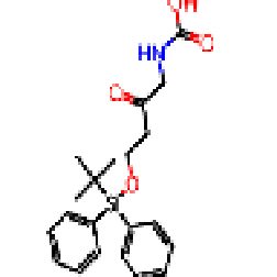 CC(C)(C)[Si](OCCC(=O)CNC(=O)O)(c1ccccc1)c1ccccc1